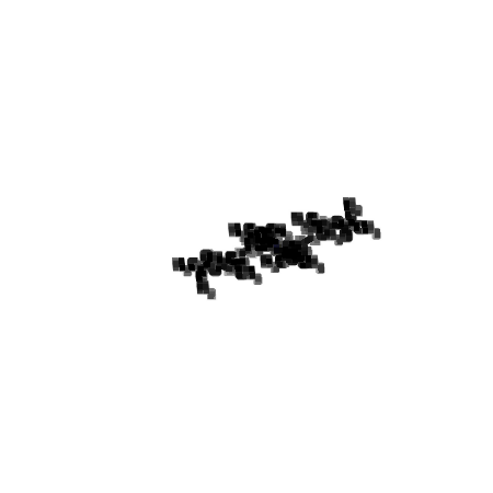 C=C(C)C(=O)OCC[N+](C)(C)CCCC[Si](C)(C)O[Si](C)(C)/C=C/[Si](C)(C)O[Si](C)(C)CCCC[N+](C)(C)CCOC(=O)C(=C)C